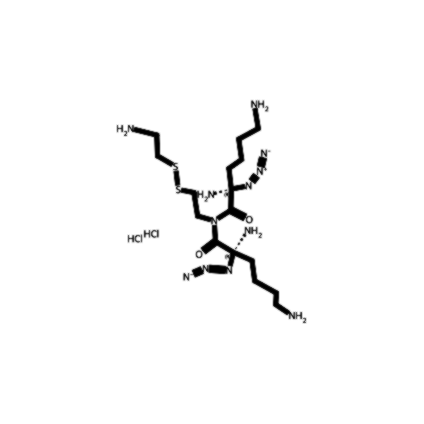 Cl.Cl.[N-]=[N+]=N[C@](N)(CCCCN)C(=O)N(CCSSCCN)C(=O)[C@@](N)(CCCCN)N=[N+]=[N-]